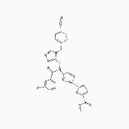 COC(=O)c1ccc(-c2ccc(N(Cc3cncn3Cc3ccc(C#N)cc3)C(=O)c3cccc(F)c3)cc2)s1